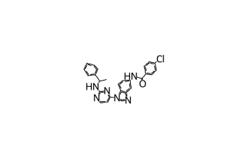 CC(Nc1nccc(-n2cnc3cc(NC(=O)c4ccc(Cl)cc4)ccc32)n1)c1ccccc1